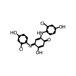 O=C1C=C(O)C(=Nc2ccc(O)cc2Cl)C=C1Nc1ccc(O)cc1Cl